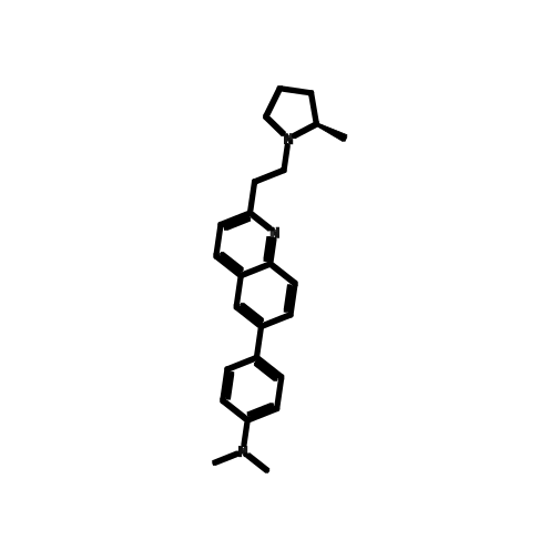 C[C@@H]1CCCN1CCc1ccc2cc(-c3ccc(N(C)C)cc3)ccc2n1